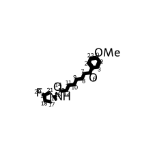 COc1ccc(C(=O)CCCCCCC(=O)NN2CCC(F)C2)cc1